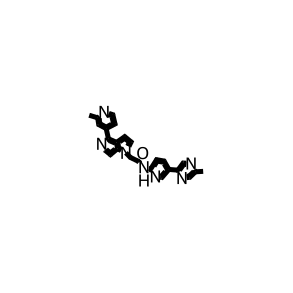 Cc1cnc(-c2ccc(NC(=O)Cn3ccc4c(-c5ccnc(C)c5)nccc43)nc2)cn1